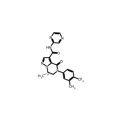 Cc1cc(N2C[C@H](C)n3ncc(C(=O)Nc4cnccn4)c3C2=O)ccc1C(F)(F)F